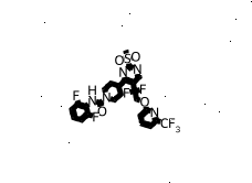 CS(=O)(=O)c1ncc(C(F)(F)COc2cccc(C(F)(F)F)n2)c(C2CCN(C(=O)Nc3c(F)cccc3F)CC2)n1